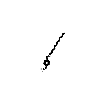 CCCCCCCCCCCCNCc1ccc(CN)cc1